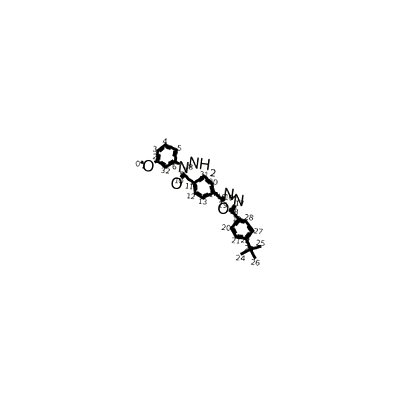 COc1cccc(N(N)C(=O)c2ccc(-c3nnc(-c4ccc(C(C)(C)C)cc4)o3)cc2)c1